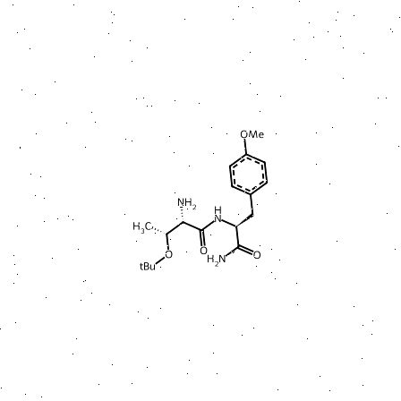 COc1ccc(C[C@H](NC(=O)[C@@H](N)[C@@H](C)OC(C)(C)C)C(N)=O)cc1